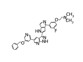 CN(C)CCOc1cc(F)cc(-c2nccc3[nH]c(-c4n[nH]c5ncc(-c6cncc(OCc7ccccc7)c6)cc45)cc23)c1